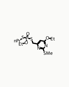 CCCSP(=O)(OCC)SCc1cc(OCC)nc(SC)n1